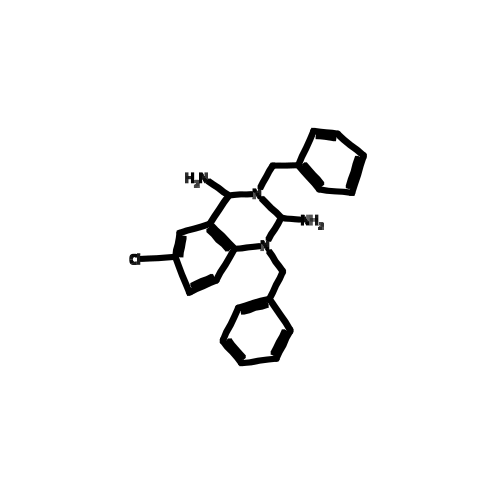 NC1c2cc(Cl)ccc2N(Cc2ccccc2)C(N)N1Cc1ccccc1